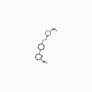 Nc1cccc(-c2ccc(CCN3CCC(N)C3)cc2)n1